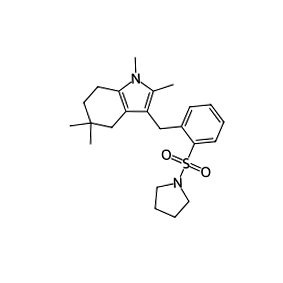 Cc1c(Cc2ccccc2S(=O)(=O)N2CCCC2)c2c(n1C)CCC(C)(C)C2